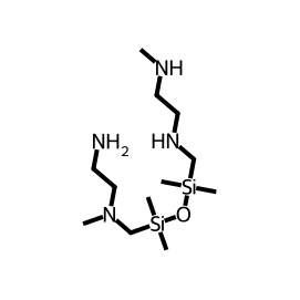 CNCCNC[Si](C)(C)O[Si](C)(C)CN(C)CCN